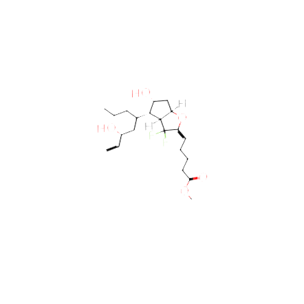 C=C[C@@H](O)CC(CCC)[C@@H]1[C@@H]2[C@H](C[C@H]1O)OC(=CCCCC(=O)OC)C2(F)F